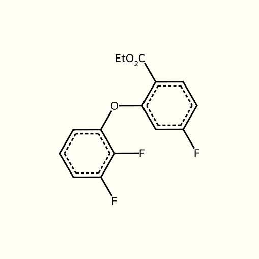 CCOC(=O)c1ccc(F)cc1Oc1cccc(F)c1F